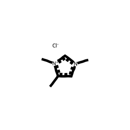 Cc1cn(C)c[n+]1C.[Cl-]